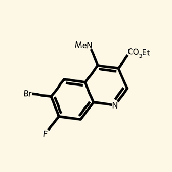 CCOC(=O)c1cnc2cc(F)c(Br)cc2c1NC